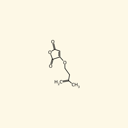 C=C(C)CCOC1=CC(=O)OC1=O